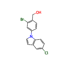 OCc1ccc(-n2ccc3cc(Cl)ccc32)cc1Br